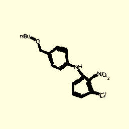 CCCCOCc1ccc(Nc2cccc(Cl)c2[N+](=O)[O-])cc1